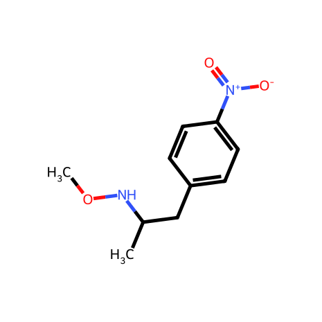 CONC(C)Cc1ccc([N+](=O)[O-])cc1